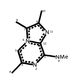 CNc1nc(C)cn2c(C)c(C)nc12